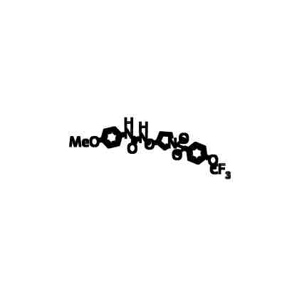 COc1ccc(NC(=O)NOC2CCN(S(=O)(=O)c3ccc(OC(F)(F)F)cc3)C2)cc1